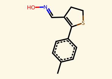 Cc1ccc(C2=C(C=NO)CCS2)cc1